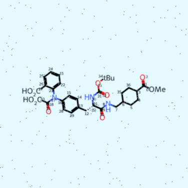 COC(=O)C1CCC(CNC(=O)[C@H](Cc2ccc(N(C(=O)C(=O)O)c3ccccc3C(=O)O)cc2)NC(=O)OC(C)(C)C)CC1